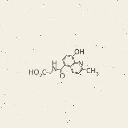 Cc1ccc2c(C(=O)NCC(=O)O)ccc(O)c2n1